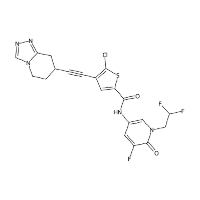 O=C(Nc1cc(F)c(=O)n(CC(F)F)c1)c1cc(C#CC2CCn3cnnc3C2)c(Cl)s1